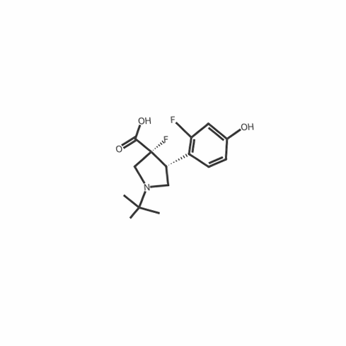 CC(C)(C)N1C[C@@H](c2ccc(O)cc2F)[C@](F)(C(=O)O)C1